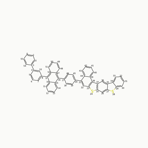 c1ccc(-c2cccc(-c3c4ccccc4c(-c4ccc(-c5cc6sc7cc8sc9ccccc9c8cc7c6c6ccccc56)cc4)c4ccccc34)c2)cc1